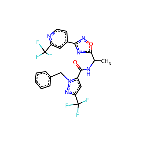 CC(NC(=O)c1cc(C(F)(F)F)nn1Cc1ccccc1)c1nc(-c2ccnc(C(F)(F)F)c2)no1